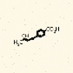 CC(C)=CC#Cc1ccc(C(=O)O)cc1